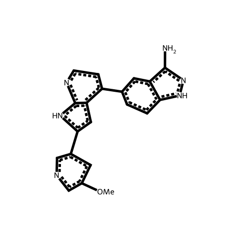 COc1cncc(-c2cc3c(-c4ccc5[nH]nc(N)c5c4)ccnc3[nH]2)c1